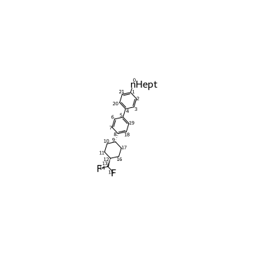 CCCCCCCc1ccc(-c2ccc([C@H]3CC[C@H](C(F)F)CC3)cc2)cc1